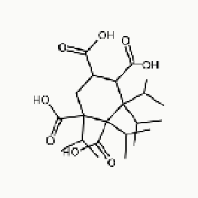 CC(C)C1(C(=O)O)CC(C(=O)O)C(C(=O)O)C(C(C)C)(C(C)C)C1(C(=O)O)C(C)C